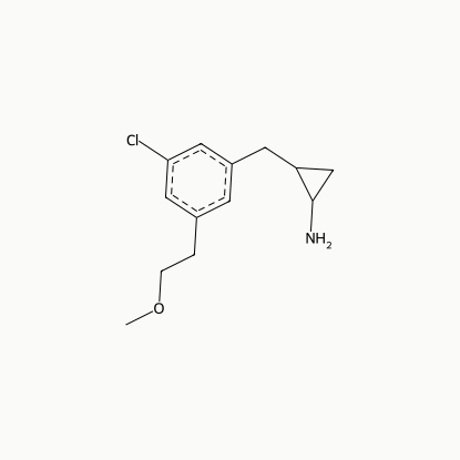 COCCc1cc(Cl)cc(CC2CC2N)c1